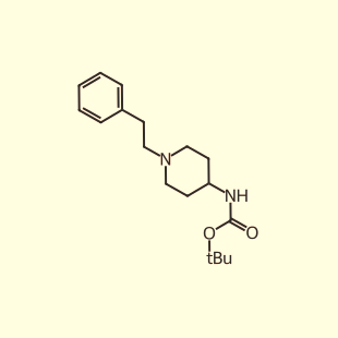 CC(C)(C)OC(=O)NC1CCN(CCc2ccccc2)CC1